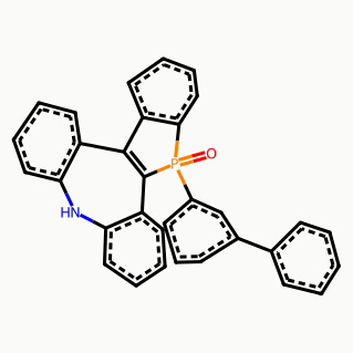 O=P1(c2cccc(-c3ccccc3)c2)C2=C(c3ccccc3Nc3ccccc32)c2ccccc21